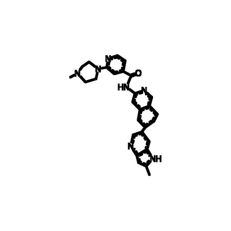 Cc1cc2ncc(-c3ccc4cnc(NC(=O)c5ccnc(N6CCN(C)CC6)c5)cc4c3)cc2[nH]1